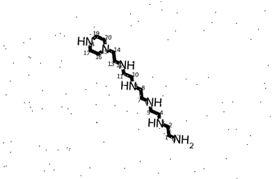 NCCNCCNCCNCCNCCN1CCNCC1